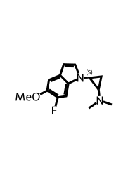 COc1cc2ccn([C@H]3CC3N(C)C)c2cc1F